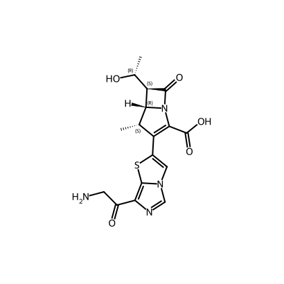 C[C@@H](O)[C@H]1C(=O)N2C(C(=O)O)=C(c3cn4cnc(C(=O)CN)c4s3)[C@H](C)[C@H]12